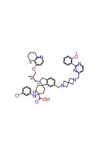 COc1ccccc1-c1nccc(CN2CC3(CN(Cc4ccc5c(c4)C4(CCC(Nc6cccc(Cl)c6)(C(=O)O)CC4)[C@@H](C[C@@H](C)COc4ccnc6c4[C@H](C)CCC6)C5)C3)C2)n1